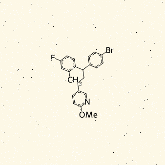 COc1ccc(CCC(c2ccc(Br)cc2)c2ccc(F)cc2C)cn1